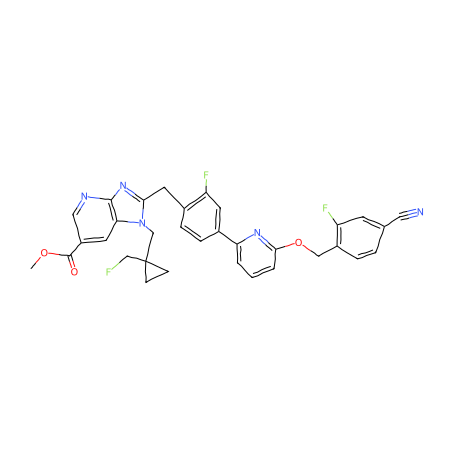 COC(=O)c1cnc2nc(Cc3ccc(-c4cccc(OCc5ccc(C#N)cc5F)n4)cc3F)n(CC3(CF)CC3)c2c1